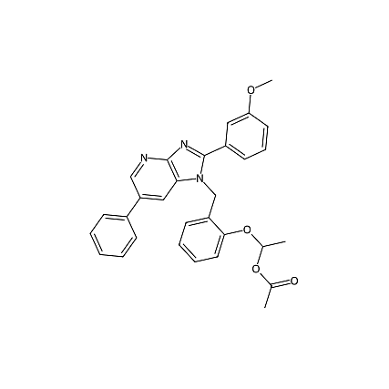 COc1cccc(-c2nc3ncc(-c4ccccc4)cc3n2Cc2ccccc2OC(C)OC(C)=O)c1